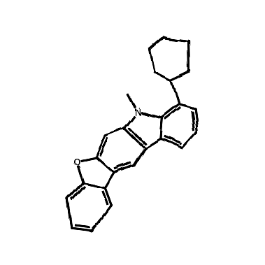 Cn1c2cc3oc4ccccc4c3cc2c2cccc(C3CCCCC3)c21